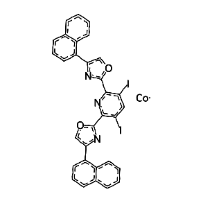 Ic1cc(I)c(-c2nc(-c3cccc4ccccc34)co2)nc1-c1nc(-c2cccc3ccccc23)co1.[Co]